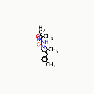 Cc1cccc(/C=C2\CCN(C(=O)Nc3noc(C)c3C)CC2C)c1